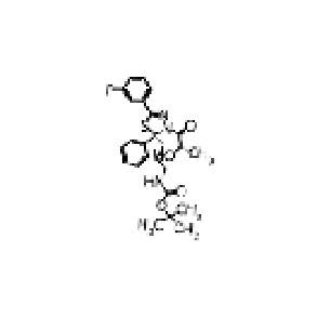 C[C@H](O)C(=O)N1N=C(c2cccc(F)c2)S[C@]1(CCCNC(=O)OC(C)(C)C)c1ccccc1